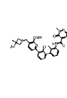 COc1nc(-c2cccc(-c3cccc(NC(=O)c4ccnn(C)c4=O)c3C)c2Cl)ccc1CN1CC(C)(C(C)=O)C1